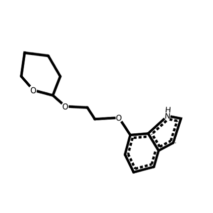 [c]1c[nH]c2c(OCCOC3CCCCO3)cccc12